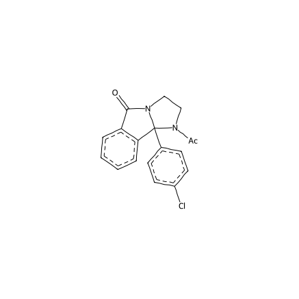 CC(=O)N1CCN2C(=O)c3ccccc3C12c1ccc(Cl)cc1